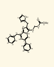 CC(=O)OC(=O)OCOc1c(Cc2ccco2)nc2c(Cc3ccccc3)nc(-c3ccccc3)cn12